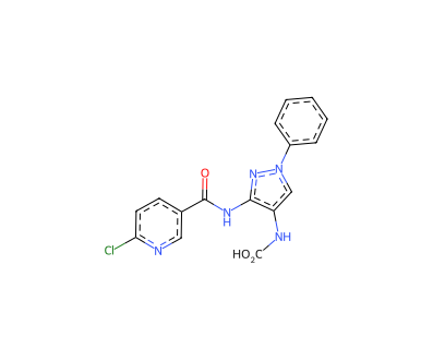 O=C(O)Nc1cn(-c2ccccc2)nc1NC(=O)c1ccc(Cl)nc1